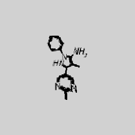 CC1=C(N)N(c2ccccc2)NC1c1cnc(C)nc1